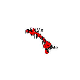 CC[C@H](NC)C(=O)N[C@@H]1C(=O)N2[C@@H](CC[C@@H]1CNC(=O)CCc1cn(CCCOCCOCCOCCCNC(=O)[C@@H](NC(=O)[C@@H]3CC[C@@H]4CC[C@H](CCNCc5ccccc5)[C@H](NC(=O)[C@H](CC)NC)C(=O)N43)c3ccccc3)nn1)CC[C@H]2C(=O)NCc1ccccc1